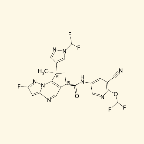 C[C@]1(c2cnn(C(F)F)c2)C[C@@H](C(=O)Nc2cnc(OC(F)F)c(C#N)c2)c2cnc3cc(F)nn3c21